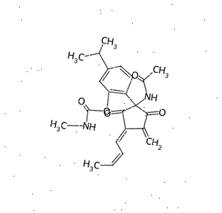 C=C1C(=O)C(NC(C)=O)(c2ccc(C(C)C)cc2OC(=O)NC)C(=O)/C1=C/C=C\C